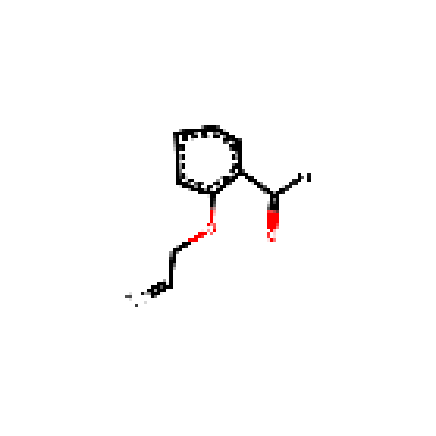 C=CCOc1ccccc1C(=O)CC